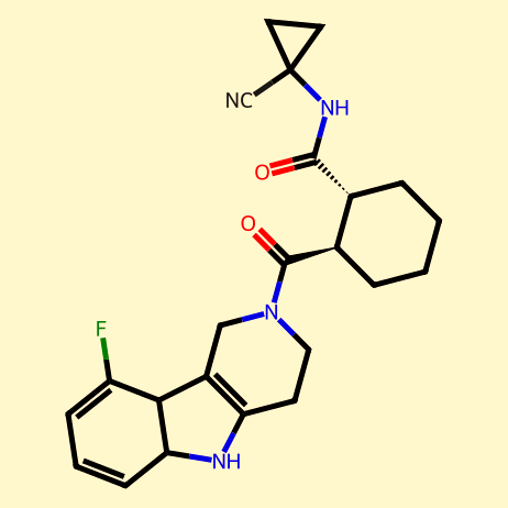 N#CC1(NC(=O)[C@@H]2CCCC[C@H]2C(=O)N2CCC3=C(C2)C2C(F)=CC=CC2N3)CC1